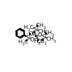 C[Si](C)(C)O[Si](C)(O[Si](C)(C)C)O[Si](C)(C)c1ccccc1